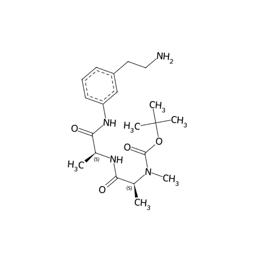 C[C@H](NC(=O)[C@H](C)N(C)C(=O)OC(C)(C)C)C(=O)Nc1cccc(CCN)c1